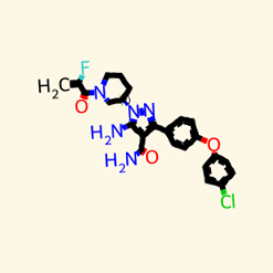 C=C(F)C(=O)N1CCC[C@@H](n2nc(-c3ccc(Oc4ccc(Cl)cc4)cc3)c(C(N)=O)c2N)C1